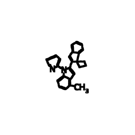 Cc1cccc2c1cc(C1=Cc3ccccc3C13CCC3)n2-c1ccccn1